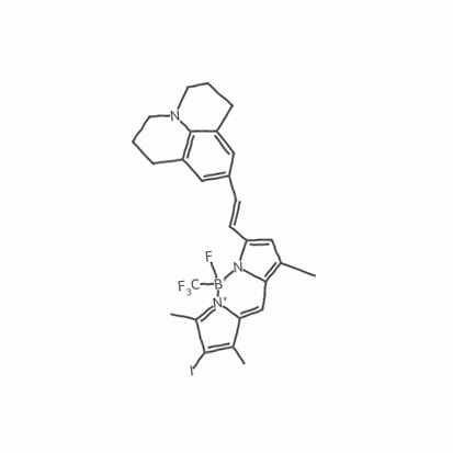 CC1=C(I)C(C)=[N+]2C1=Cc1c(C)cc(/C=C/c3cc4c5c(c3)CCCN5CCC4)n1[B-]2(F)C(F)(F)F